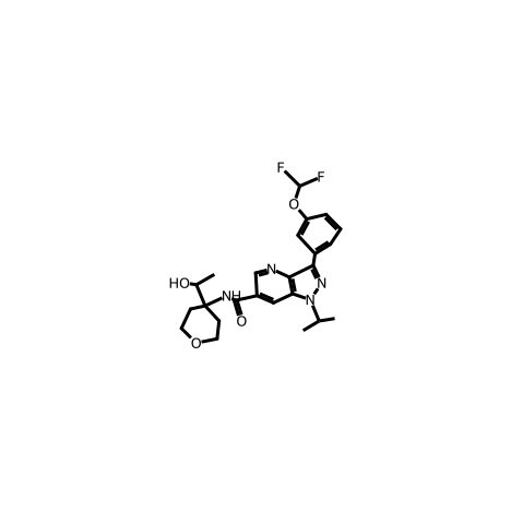 CC(C)n1nc(-c2cccc(OC(F)F)c2)c2ncc(C(=O)NC3(C(C)O)CCOCC3)cc21